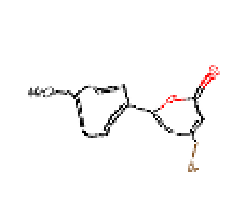 COc1ccc(-c2cc(Br)cc(=O)o2)cc1